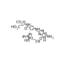 CC(C)N(C(C)C)P(O)OCCC#N.Nc1nc2ncc(CNc3ccc(C(=O)NC(CCC(=O)O)C(=O)O)cc3)nc2c(=O)[nH]1